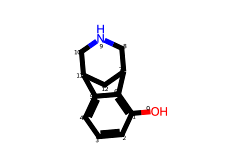 Oc1cccc2c1C1CNCC2C1